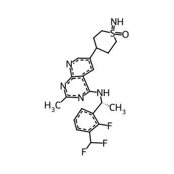 Cc1nc(N[C@H](C)c2cccc(C(F)F)c2F)c2cc(C3CCS(=N)(=O)CC3)cnc2n1